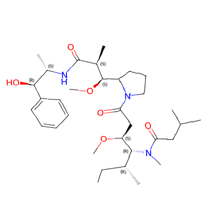 CC[C@@H](C)[C@H]([C@H](CC(=O)N1CCCC1[C@@H](OC)[C@H](C)C(=O)N[C@@H](C)[C@H](O)c1ccccc1)OC)N(C)C(=O)CC(C)C